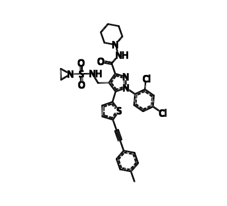 Cc1ccc(C#Cc2ccc(-c3c(CNS(=O)(=O)N4CC4)c(C(=O)NN4CCCCC4)nn3-c3ccc(Cl)cc3Cl)s2)cc1